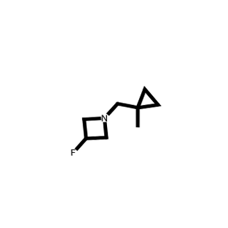 CC1(CN2CC(F)C2)CC1